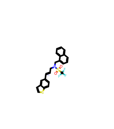 O=S(=O)(N(C/C=C/c1ccc2sccc2c1)Cc1cccc2ccccc12)C(F)(F)F